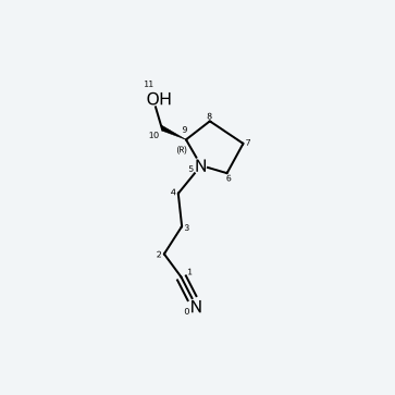 N#CCCCN1CCC[C@@H]1CO